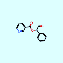 O=[C]C(OC(=O)c1cccnc1)c1ccccc1